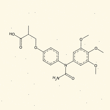 COc1cc(N(C(N)=O)c2ccc(OCC(C)C(=O)O)cc2)cc(OC)c1OC